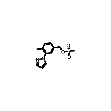 Cc1ccc(COS(C)(=O)=O)cc1-n1cccn1